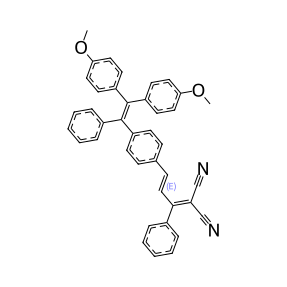 COc1ccc(C(=C(c2ccccc2)c2ccc(/C=C/C(=C(C#N)C#N)c3ccccc3)cc2)c2ccc(OC)cc2)cc1